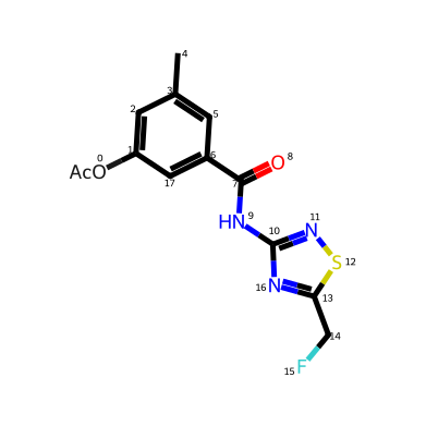 CC(=O)Oc1cc(C)cc(C(=O)Nc2nsc(CF)n2)c1